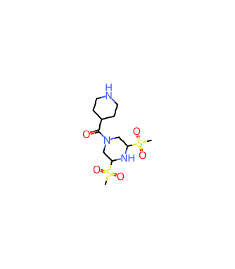 CS(=O)(=O)C1CN(C(=O)C2CCNCC2)CC(S(C)(=O)=O)N1